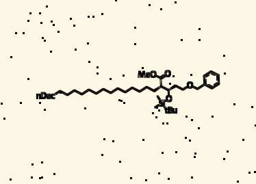 CCCCCCCCCCCCCCCCCCCCCCCC[C@@H](C(=O)OC)[C@@H](CCOCc1ccccc1)O[Si](C)(C)C(C)(C)C